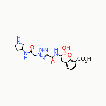 O=C(Cn1nnc(C(=O)NC2Cc3cccc(C(=O)O)c3OB2O)n1)NC1CCNC1